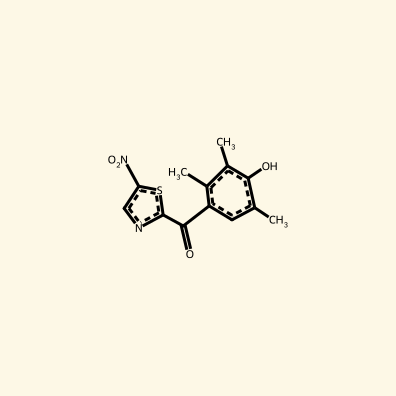 Cc1cc(C(=O)c2ncc([N+](=O)[O-])s2)c(C)c(C)c1O